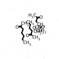 C=O.CC(C)=O.CC=O.CCC(C)=O.CCCCC(C)=O.CCCCCC(C)=O